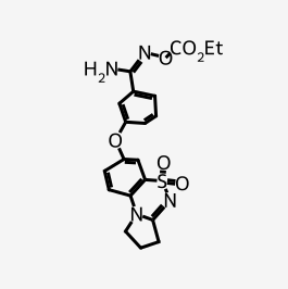 CCOC(=O)O/N=C(/N)c1cccc(Oc2ccc3c(c2)S(=O)(=O)N=C2CCCN23)c1